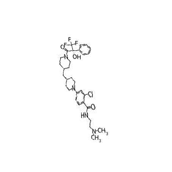 CN(C)CCNC(=O)c1ccc(N2CCC(CC3CCN(C(=O)[C@](O)(c4ccccc4)C(F)(F)F)CC3)CC2)cc1Cl